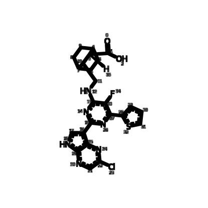 O=C(O)[C@H]1C2CCC(CC2)C1CNc1nc(-c2c[nH]c3ncc(Cl)nc23)nc(-c2cccs2)c1F